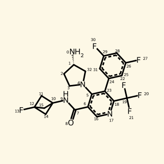 N[C@H]1CCN(c2c(C(=O)NC34CC(F)(C3)C4)cnc(C(F)(F)F)c2-c2cc(F)cc(F)c2)C1